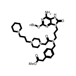 CCCCOc1nc(N)c2[nH]c(=O)n(CCCN(Cc3ccc(CC(=O)OC)cc3)C(=O)CN3CCN(CCCN4CCCCC4)CC3)c2n1